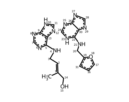 C/C(=C\CNc1ncnc2[nH]cnc12)CO.c1coc(CNc2[nH]cnc3ncnc2-3)c1